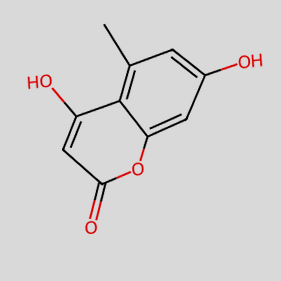 Cc1cc(O)cc2oc(=O)cc(O)c12